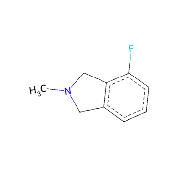 CN1Cc2cccc(F)c2C1